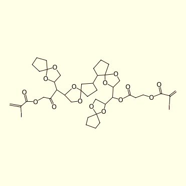 C=C(I)C(=O)OCCC(=O)OC(C1COC2(CCCC2)O1)C1COC2(CCCC2C2CCC3(C2)OCC(C(C(=O)COC(=O)C(=C)I)C2COC4(CCCC4)O2)O3)O1